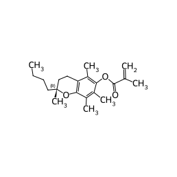 C=C(C)C(=O)Oc1c(C)c(C)c2c(c1C)CC[C@@](C)(CCCC)O2